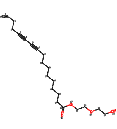 CCCCCCCCCCCCC#CC#CCCCCCCCCC(=O)OCCOCCO